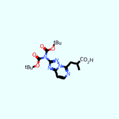 CC(Cc1nccc2nc(N(C(=O)OC(C)(C)C)C(=O)OC(C)(C)C)nn12)C(=O)O